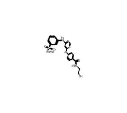 CNS(=O)(=O)c1cccc(Nc2cc(Nc3ccc(C(=O)NCCO)cc3)ncn2)c1